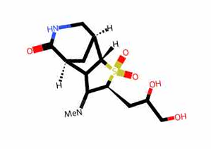 CNC1C2[C@@H]3C[C@@H](CNC3=O)[C@@H]2S(=O)(=O)[C@H]1CC(O)CO